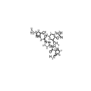 [2H]C([2H])([2H])Oc1cccc([C@@H]2[C@H](NC(=O)c3nccn3C)CCN2C(=O)Cn2nc(C3CC3)cc2C(F)(F)F)c1C